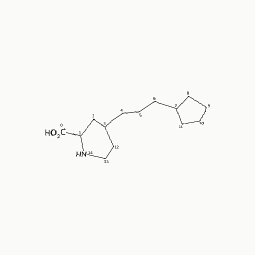 O=C(O)C1CC(CCCC2CCCC2)CCN1